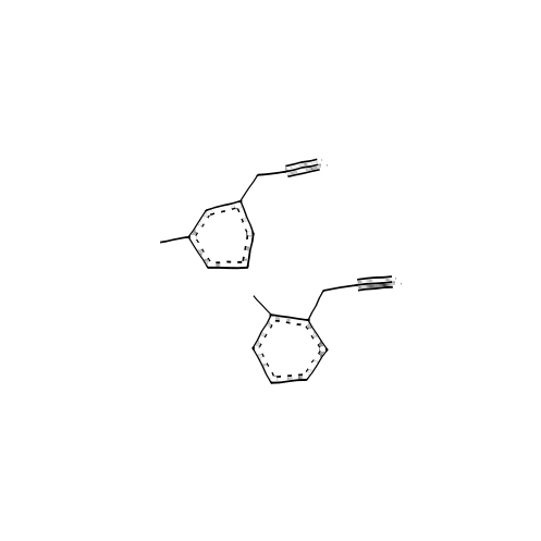 N#CCc1cccc(O)c1.N#CCc1ccccc1O